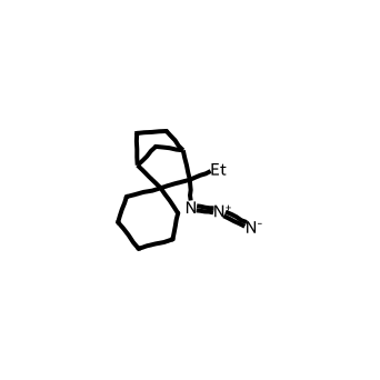 CCC1(N=[N+]=[N-])C2CCC(C2)C12CCCCC2